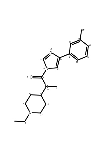 CCN1CCC(N(C)C(=O)n2cnc(-c3cccc(C)c3)c2)CC1